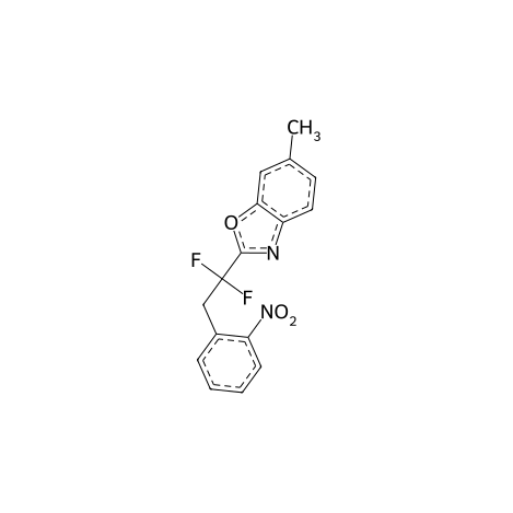 Cc1ccc2nc(C(F)(F)Cc3ccccc3[N+](=O)[O-])oc2c1